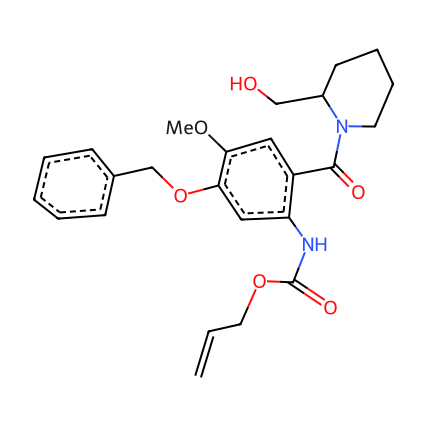 C=CCOC(=O)Nc1cc(OCc2ccccc2)c(OC)cc1C(=O)N1CCCCC1CO